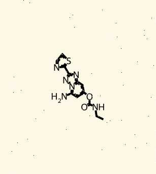 CCNC(=O)Oc1cc(N)n2nc(-c3nccs3)nc2c1